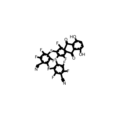 N#Cc1c(F)c(F)c(Sc2c(F)c3c(c(F)c2Sc2c(F)c(F)c(C#N)c(F)c2F)C(=O)c2c(O)ccc(O)c2C3=O)c(F)c1F